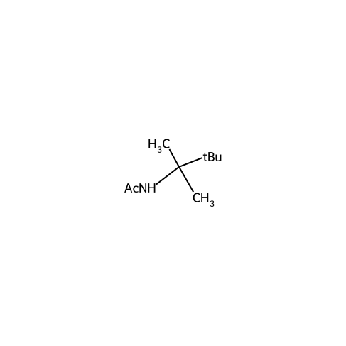 CC(=O)NC(C)(C)C(C)(C)C